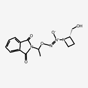 CC(ON=[N+]([O-])N1CC[C@H]1CO)N1C(=O)c2ccccc2C1=O